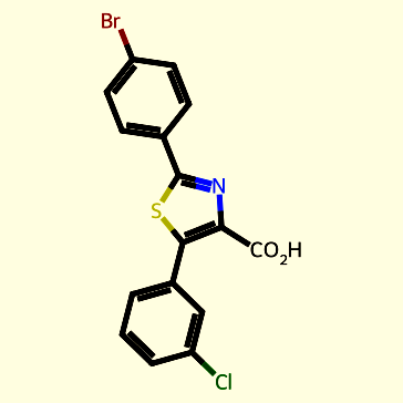 O=C(O)c1nc(-c2ccc(Br)cc2)sc1-c1cccc(Cl)c1